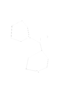 C1CCN(CC2CCNCC2)CC1.Cl.Cl